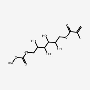 C=C(C)C(=O)OCC(O)C(O)C(O)C(O)CNC(=O)OC(C)(C)C